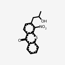 CC(O)Cc1ccc2c(=O)c3ccccc3sc2c1[N+](=O)[O-]